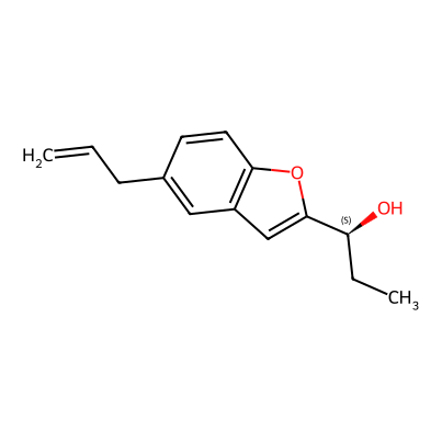 C=CCc1ccc2oc([C@@H](O)CC)cc2c1